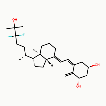 C=C1/C(=C\C=C2/CCC[C@]3(C)[C@@H]([C@H](C)CCC(F)(F)C(C)(C)O)CC[C@@H]23)C[C@@H](O)C[C@@H]1O